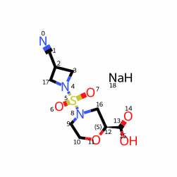 N#CC1CN(S(=O)(=O)N2CCO[C@H](C(=O)O)C2)C1.[NaH]